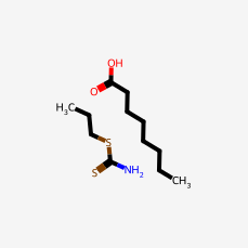 CCCCCCCC(=O)O.CCCSC(N)=S